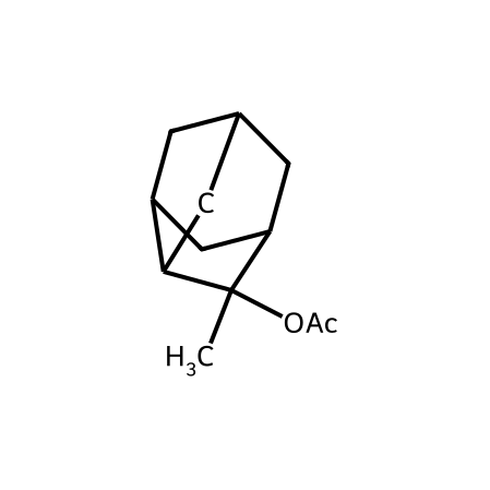 CC(=O)OC1(C)C2CC3CC(C2)C1C3